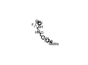 CNS(=O)(=O)c1cnc(N2CCC(CC(=O)NOC[C@H](C)Nc3cn[nH]c(=O)c3C(F)(F)F)CC2)nc1